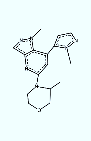 CC1COCCN1c1cc(-c2ccnn2C)c2c(cnn2C)n1